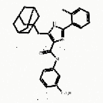 Cc1ccccc1-c1nc(C(=O)Nc2cccc(C(=O)O)c2)c(CC23CC4CC(CC(C4)C2)C3)[nH]1